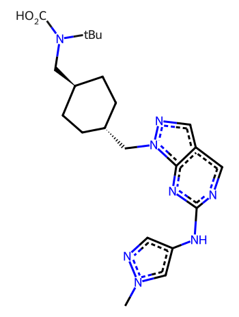 Cn1cc(Nc2ncc3cnn(C[C@H]4CC[C@H](CN(C(=O)O)C(C)(C)C)CC4)c3n2)cn1